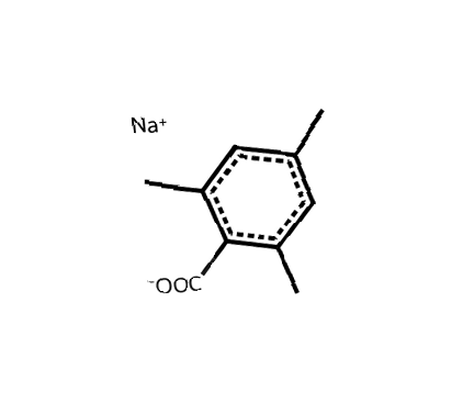 Cc1cc(C)c(C(=O)[O-])c(C)c1.[Na+]